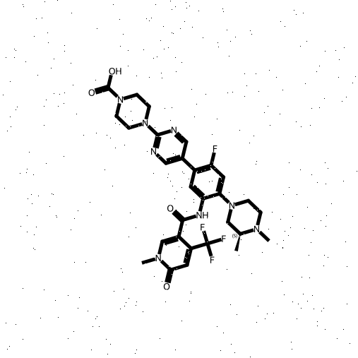 C[C@H]1CN(c2cc(F)c(-c3cnc(N4CCN(C(=O)O)CC4)nc3)cc2NC(=O)c2cn(C)c(=O)cc2C(F)(F)F)CCN1C